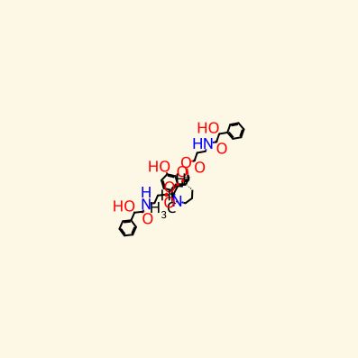 CN1CCC[C@]23c4c5ccc(O)c4O[C@H]2C(OC(=O)CCNC(=O)[C@@H](O)c2ccccc2)=CC[C@@]3(OC(=O)CCNC(=O)[C@@H](O)c2ccccc2)[C@H]1C5